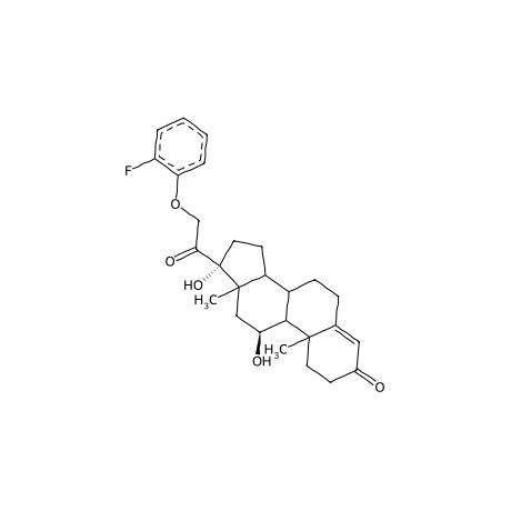 CC12CCC(=O)C=C1CCC1C2[C@@H](O)CC2(C)C1CC[C@]2(O)C(=O)COc1ccccc1F